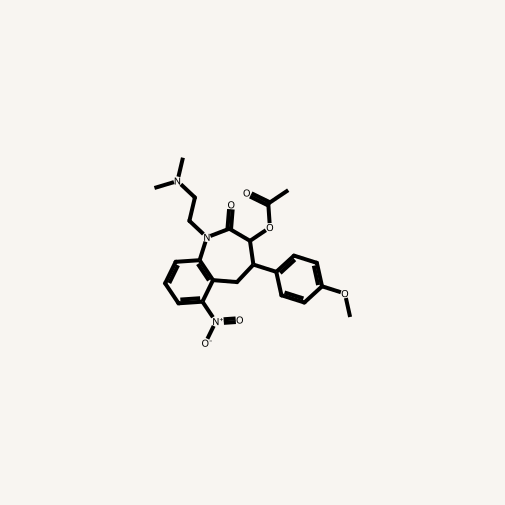 COc1ccc(C2Cc3c(cccc3[N+](=O)[O-])N(CCN(C)C)C(=O)C2OC(C)=O)cc1